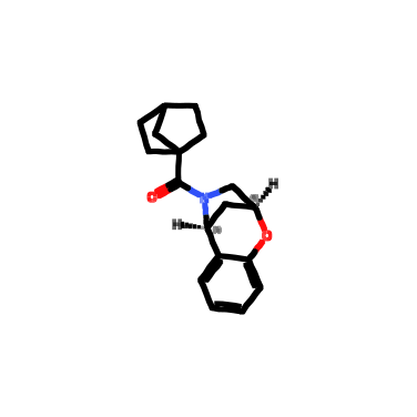 O=C(N1C[C@@H]2C[C@H]1c1ccccc1O2)C12CCC(CC1)C2